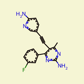 Cc1nc(N)nc(-c2cccc(F)c2)c1C#Cc1ccc(N)nc1